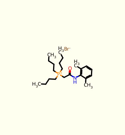 CCCC[P+](CCCC)(CCCC)CC(=O)Nc1c(C)cccc1C.[Br-]